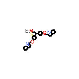 CCOC(=S)CC(c1ccc(OCc2ccc3ccccc3n2)cc1)c1ccc(OCc2ccc3ccccc3n2)cc1